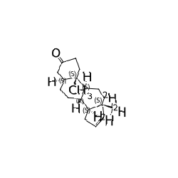 [2H]C([2H])([2H])[C@@]12C=CC[C@H]1[C@@H]1CC[C@H]3CC(=O)CC[C@]3(C)[C@H]1CC2